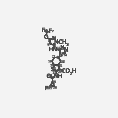 Cn1nc(OC(F)F)cc1Nc1nncn1[C@H]1CCc2sc(NC(=O)[C@H]3C[C@@H]3F)c(C(=O)O)c2C1